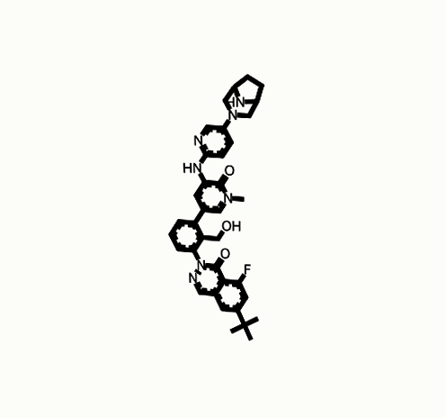 Cn1cc(-c2cccc(-n3ncc4cc(C(C)(C)C)cc(F)c4c3=O)c2CO)cc(Nc2ccc(N3CC4CCC(C3)N4)cn2)c1=O